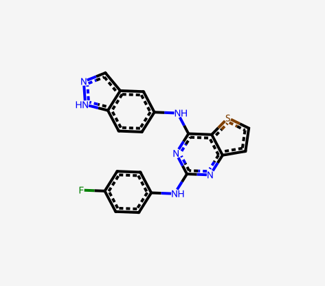 Fc1ccc(Nc2nc(Nc3ccc4[nH]ncc4c3)c3sccc3n2)cc1